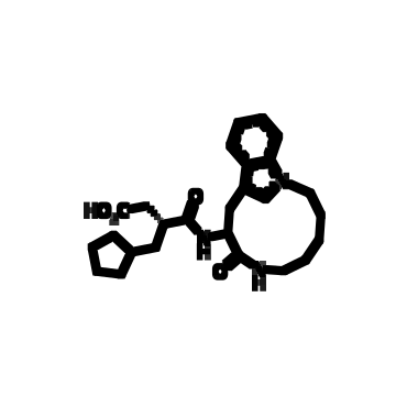 O=C(O)C[C@@H](CC1CCCC1)C(=O)NC1Cc2cn(c3ccccc23)CCCCCNC1=O